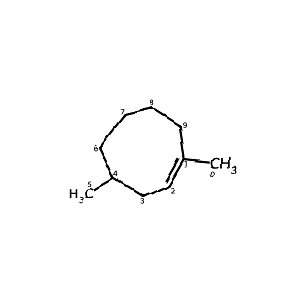 CC1=CCC(C)CCCC1